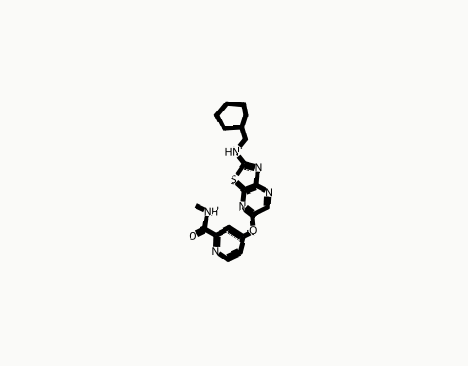 CNC(=O)c1cc(Oc2cnc3nc(NCC4CCCCC4)sc3n2)ccn1